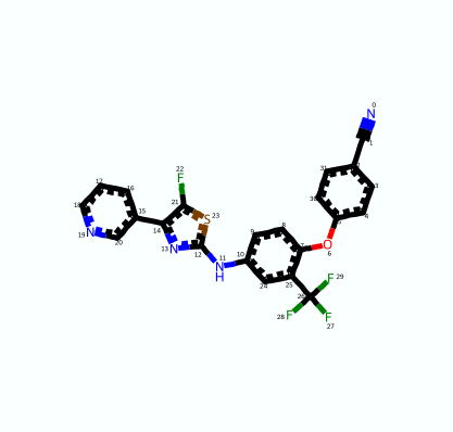 N#Cc1ccc(Oc2ccc(Nc3nc(-c4cccnc4)c(F)s3)cc2C(F)(F)F)cc1